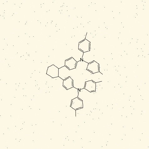 Cc1ccc(N(c2ccc(C)cc2)c2ccc(C3CCCCC3c3ccc(N(c4ccc(C)cc4)c4ccc(C)cc4)cc3)cc2)cc1